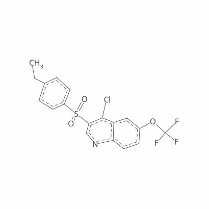 CCc1ccc(S(=O)(=O)c2cnc3ccc(OC(F)(F)F)cc3c2Cl)cc1